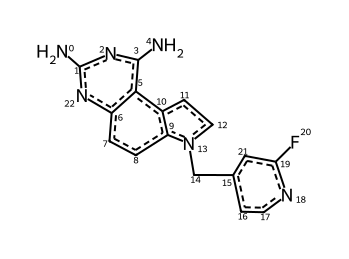 Nc1nc(N)c2c(ccc3c2ccn3Cc2ccnc(F)c2)n1